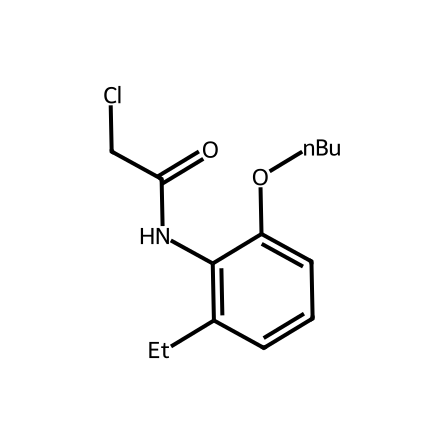 CCCCOc1cccc(CC)c1NC(=O)CCl